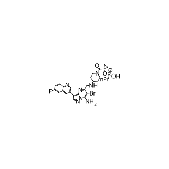 CCCP(=O)(O)OC1(C(=O)N2CCC(NCc3nc4c(-c5cnc6ccc(F)cc6c5)cnn4c(N)c3Br)CC2)CC1